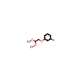 CCOC(COc1cccc(F)c1)OCC